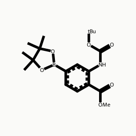 COC(=O)c1ccc(B2OC(C)(C)C(C)(C)O2)cc1NC(=O)OC(C)(C)C